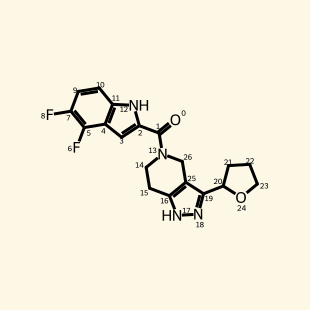 O=C(c1cc2c(F)c(F)ccc2[nH]1)N1CCc2[nH]nc(C3CCCO3)c2C1